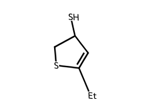 CCC1=CC(S)CS1